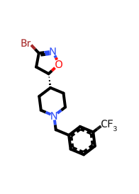 FC(F)(F)c1cccc(CN2CCC([C@@H]3CC(Br)=NO3)CC2)c1